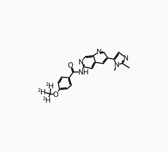 [2H]C([2H])([2H])Oc1ccc(C(=O)Nc2cc3cc(-c4cnc(C)n4C)cnc3cn2)cc1